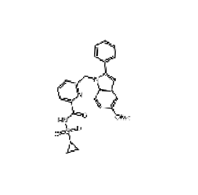 COc1ccc2c(c1)cc(-c1ccccc1)n2Cc1cccc(C(=O)NS(=O)(=O)C2CC2)n1